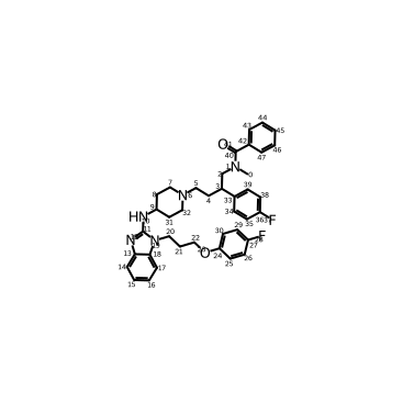 CN(CC(CCN1CCC(Nc2nc3ccccc3n2CCCOc2ccc(F)cc2)CC1)c1ccc(F)cc1)C(=O)c1ccccc1